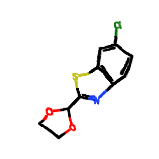 Clc1ccc2nc(C3OCCO3)sc2c1